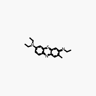 CC/N=c1/cc2sc3cc(N(CC)CC)ccc3nc-2cc1C